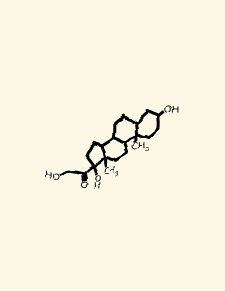 CC12CCC(O)CC1CCC1C2CCC2(C)C1CCC2(O)C(=O)CO